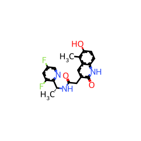 Cc1c(O)ccc2[nH]c(=O)c(CC(=O)N[C@H](C)c3ncc(F)cc3F)cc12